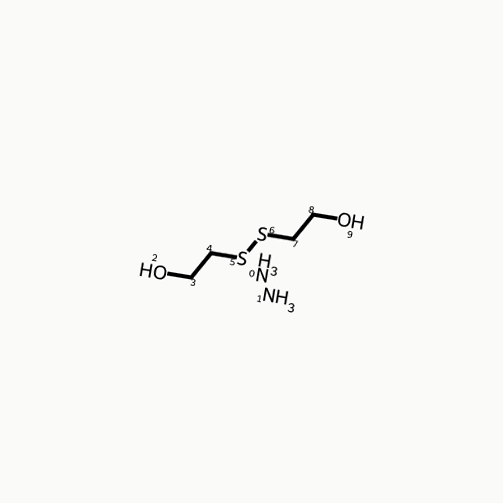 N.N.OCCSSCCO